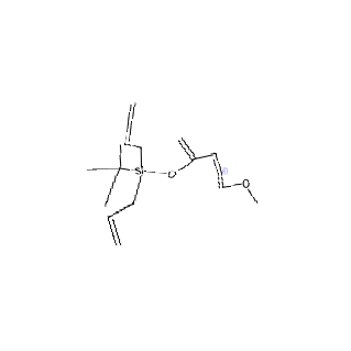 C=CC[Si](CC=C)(OC(=C)/C=C/OC)C(C)(C)C